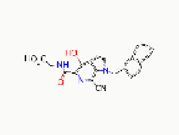 N#Cc1nc(C(=O)NCC(=O)O)c(O)c2ccn(Cc3ccc4ccccc4c3)c12